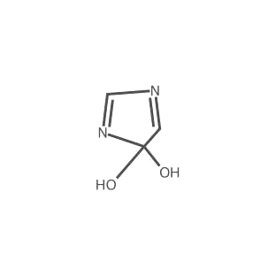 OC1(O)C=NC=N1